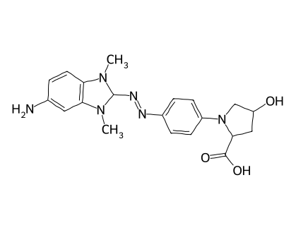 CN1c2ccc(N)cc2N(C)C1N=Nc1ccc(N2CC(O)CC2C(=O)O)cc1